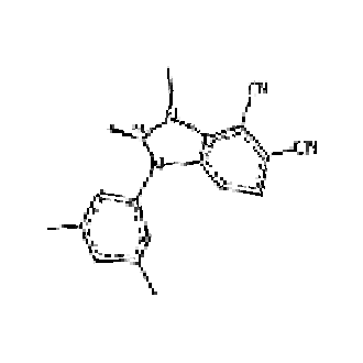 Cc1cc(C)cc(N2c3ccc(C#N)c(C#N)c3N(C)[C@@H]2C)c1